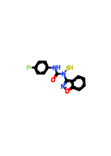 O=C(Nc1ccc(F)cc1)N(S)c1noc2ccccc12